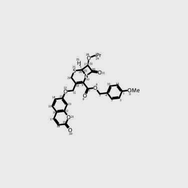 COc1ccc(COC(=O)C2=C(COc3ccc4ccc(=O)oc4c3)CS[C@H]3[C@@H](OC(C)C)C(=O)N23)cc1